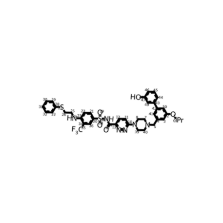 CC(C)Oc1cc(CN2CCN(c3ccc(C(=O)NS(=O)(=O)c4ccc(NCCSc5ccccc5)c(C(F)(F)F)c4)nn3)CC2)cc(-c2cccc(O)c2)c1